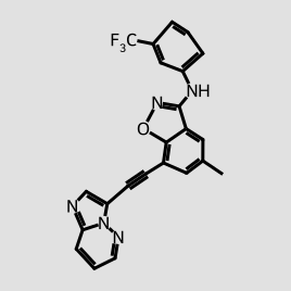 Cc1cc(C#Cc2cnc3cccnn23)c2onc(Nc3cccc(C(F)(F)F)c3)c2c1